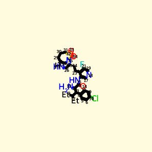 CCC(CC)C(c1ccc(Cl)cc1)C(N)C(=O)Nc1cncc(F)c1CC[C@H]1CN[C@@H]2CCCS(=O)(=O)N1C2